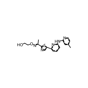 C/C(=N\OCCO)c1ncc(-c2cccc(Nc3cc(C)ccn3)n2)s1